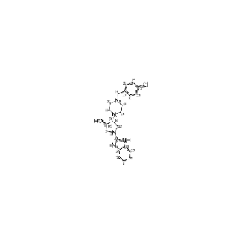 O[C@@H]1CN(c2nc3ccccc3[nH]2)C[C@H]1N1CCN(Cc2ccc(Cl)cc2)CC1